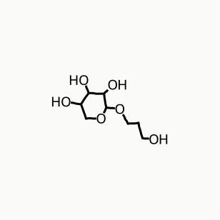 OCCCOC1OCC(O)C(O)C1O